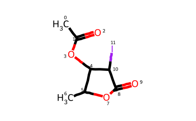 CC(=O)OC1C(C)OC(=O)C1I